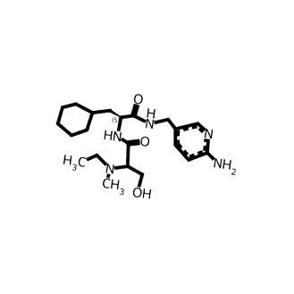 CCN(C)C(CO)C(=O)N[C@@H](CC1CCCCC1)C(=O)NCc1ccc(N)nc1